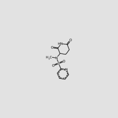 CN(C1CCC(=O)NC1=O)S(=O)(=O)c1ccccn1